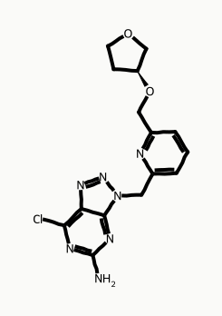 Nc1nc(Cl)c2nnn(Cc3cccc(CO[C@H]4CCOC4)n3)c2n1